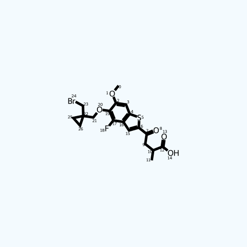 COc1cc2sc(C(=O)CC(C)C(=O)O)cc2c(F)c1OCC1(CBr)CC1